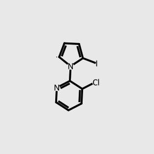 Clc1cccnc1-n1[c]ccc1I